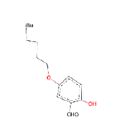 CCC(C)CCCCOc1ccc(O)c(C=O)c1